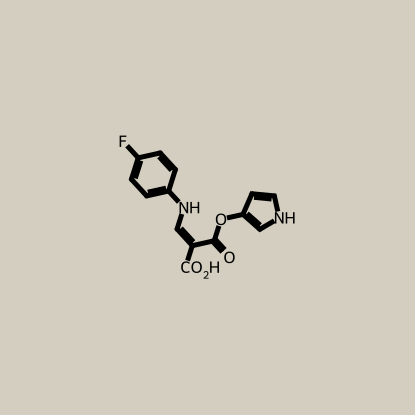 O=C(O)C(=CNc1ccc(F)cc1)C(=O)Oc1cc[nH]c1